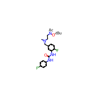 CC(=O)N(CCN(C)Cc1ccc(F)c(NC(=O)Nc2ccc(F)cc2)c1)OC(C)(C)C